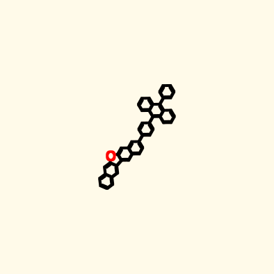 c1ccc(-c2c3ccccc3c(-c3ccc(-c4ccc5cc6c(cc5c4)oc4cc5ccccc5cc46)cc3)c3ccccc23)cc1